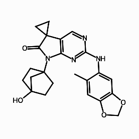 Cc1cc2c(cc1Nc1ncc3c(n1)N(C14CCC(O)(CC1)C4)C(=O)C31CC1)OCO2